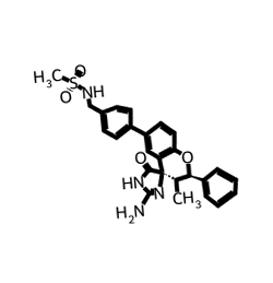 CC1[C@H](c2ccccc2)Oc2ccc(-c3ccc(CNS(C)(=O)=O)cc3)cc2[C@]12N=C(N)NC2=O